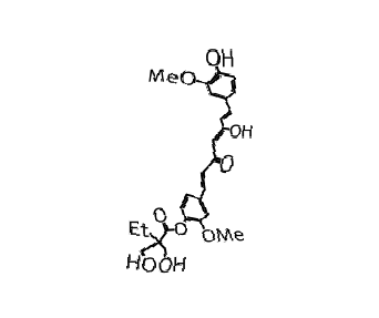 CCC(CO)(CO)C(=O)Oc1ccc(/C=C/C(=O)/C=C(O)/C=C/c2ccc(O)c(OC)c2)cc1OC